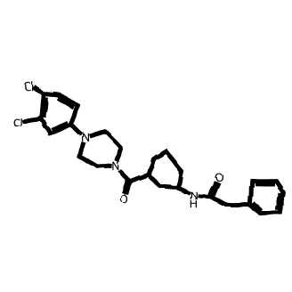 O=C(Cc1ccccc1)NC1CCCC(C(=O)N2CCN(c3ccc(Cl)c(Cl)c3)CC2)C1